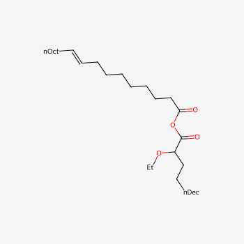 CCCCCCCCC=CCCCCCCCC(=O)OC(=O)C(CCCCCCCCCCCC)OCC